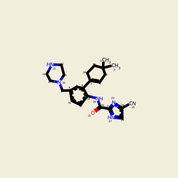 CC1(C)CC=C(c2cc(CN3CCNCC3)ccc2NC(=O)c2nc(C#N)c[nH]2)CC1